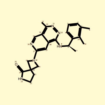 Cc1cccc([C@@H](C)Nc2nnc(C)c3cnc(N4CC5(CCNC5=O)C4)cc23)c1C